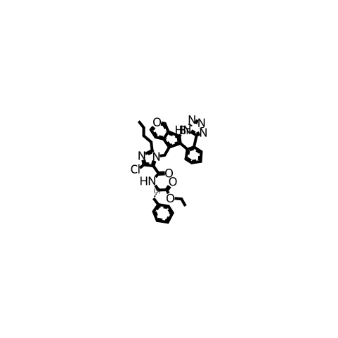 CCCCc1nc(Cl)c(C(=O)N[C@@H](Cc2ccccc2)C(=O)OCC)n1Cc1c2ccocc-2c(Br)c1-c1ccccc1-c1nnn[nH]1